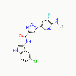 CCNc1ncc(-n2cc(C(=O)Nc3c[nH]c4ccc(Cl)cc34)nn2)cc1F